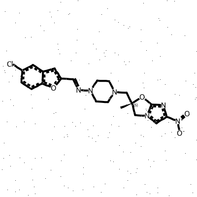 C[C@]1(CN2CCN(N=Cc3cc4cc(Cl)ccc4o3)CC2)Cn2cc([N+](=O)[O-])nc2O1